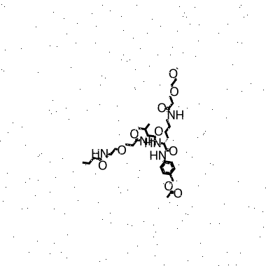 CCCC(=O)NCCOCCC(=O)N[C@H](C(=O)N[C@H](CCCCNC(=O)CCOCCOC)C(=O)Nc1ccc(COC(C)=O)cc1)C(C)C